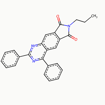 CCCN1C(=O)c2cc3nc(-c4ccccc4)nc(-c4ccccc4)c3cc2C1=O